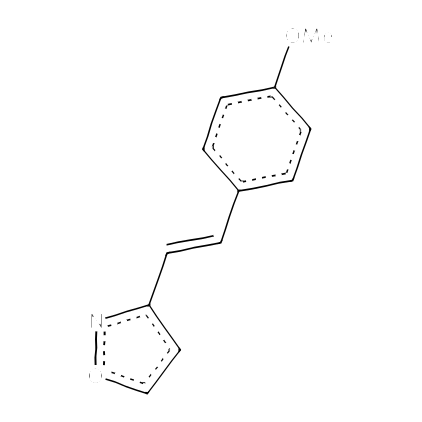 COc1ccc(C=Cc2ccon2)cc1